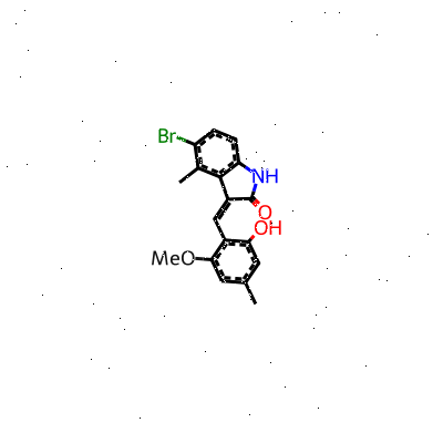 COc1cc(C)cc(O)c1C=C1C(=O)Nc2ccc(Br)c(C)c21